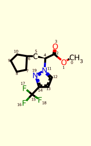 COC(=O)[C@H](CC1CCCC1)n1ccc(C(F)(F)F)n1